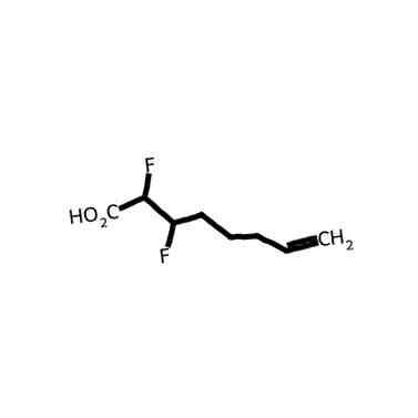 C=CCCCC(F)C(F)C(=O)O